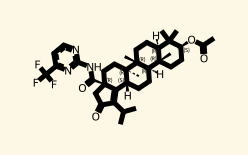 CC(=O)O[C@H]1CC[C@]2(C)[C@H]3CC[C@@H]4C5=C(C(C)C)C(=O)C[C@]5(C(=O)Nc5nccc(C(F)(F)F)n5)CC[C@@]4(C)[C@]3(C)CC[C@H]2C1(C)C